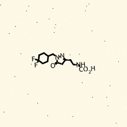 O=C(O)NCCC1=NN(CC2CCC(F)(F)CC2)C(=O)C1